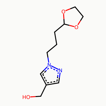 OCc1cnn(CCCC2OCCO2)c1